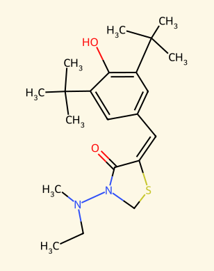 CCN(C)N1CSC(=Cc2cc(C(C)(C)C)c(O)c(C(C)(C)C)c2)C1=O